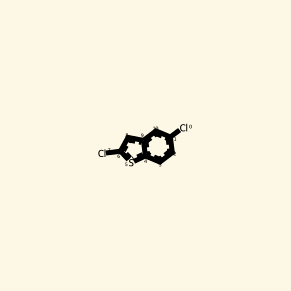 Clc1ccc2sc(Cl)cc2c1